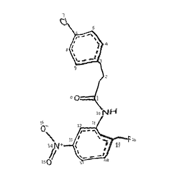 O=C(Cc1ccc(Cl)cc1)Nc1cc([N+](=O)[O-])ccc1F